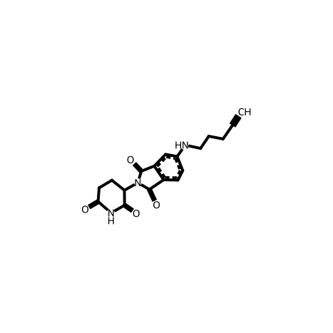 C#CCCCNc1ccc2c(c1)C(=O)N(C1CCC(=O)NC1=O)C2=O